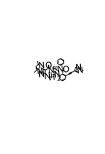 Cc1cc(C)n2nc(N)c(C(=O)N[C@H](C)c3nc4cccc(C#Cc5cnn(C)c5)c4c(=O)n3-c3ccccc3)c2n1